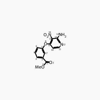 COC(=O)c1cccc(Oc2ccnc(N)c2[N+](=O)[O-])c1